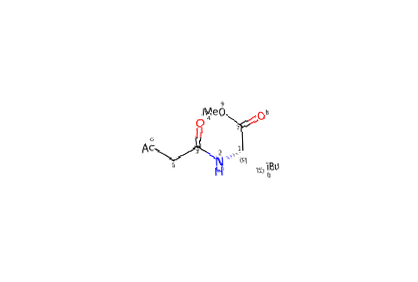 CC[C@H](C)[C@H](NC(=O)CC(C)=O)C(=O)OC